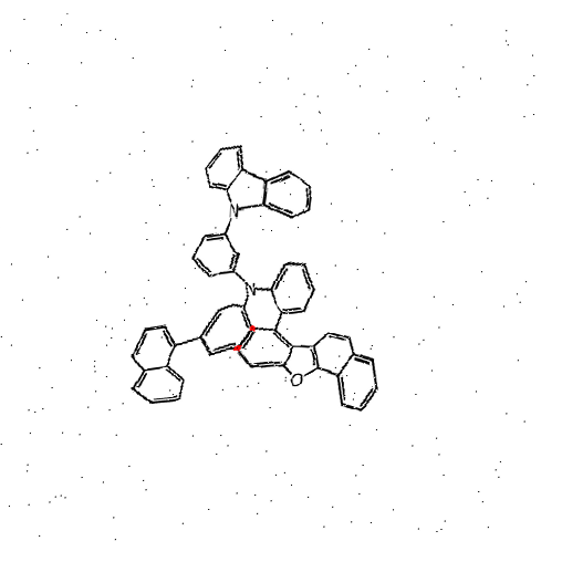 c1cc(-c2cccc3ccccc23)cc(N(c2cccc(-n3c4ccccc4c4ccccc43)c2)c2ccccc2-c2cccc3oc4c5ccccc5ccc4c23)c1